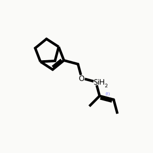 C/C=C(\C)[SiH2]OCC1=CC2CCC1C2